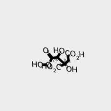 O=C(O)CC(O)(C(=O)O)C(O)C(=O)OO